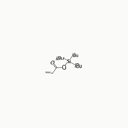 C=CC(=O)O[Si](C(C)CC)(C(C)CC)C(C)CC